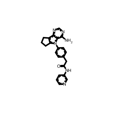 Nc1ncnc2c3c(n(-c4ccc(CC(=O)Nc5cccnc5)cc4)c12)CCC3